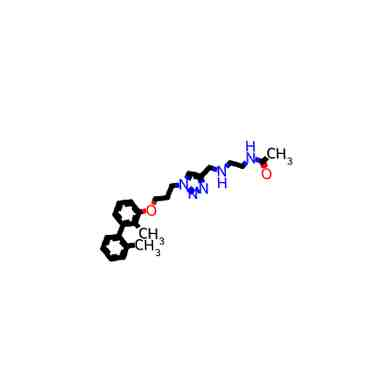 CC(=O)NCCNCc1cn(CCCOc2cccc(-c3ccccc3C)c2C)nn1